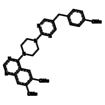 COc1ccc(Cc2cnc(N3CCN(c4ncnc5cc(OC)c(OC)cc45)CC3)nc2)cc1